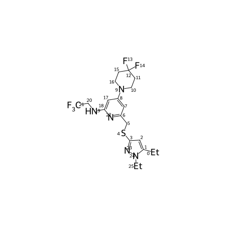 CCc1cc(SCc2cc(N3CCC(F)(F)CC3)cc(NCC(F)(F)F)n2)nn1CC